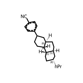 CCC[C@@H]1CC[C@H]2[C@@H](CC[C@@H]3CC(c4ccc(C#N)cc4)CC[C@H]32)C1